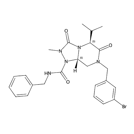 CC(C)[C@H]1C(=O)N(Cc2cccc(Br)c2)C[C@H]2N1C(=O)N(C)N2C(=O)NCc1ccccc1